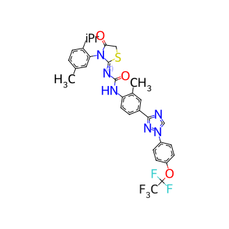 Cc1ccc(C(C)C)c(N2C(=O)CS/C2=N\C(=O)Nc2ccc(-c3ncn(-c4ccc(OC(F)(F)C(F)(F)F)cc4)n3)cc2C)c1